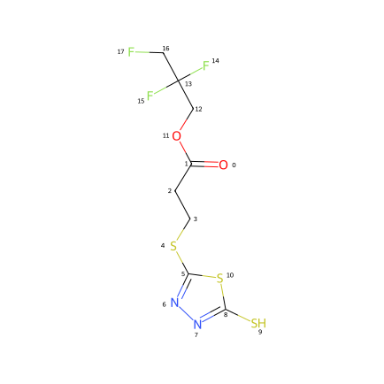 O=C(CCSc1nnc(S)s1)OCC(F)(F)CF